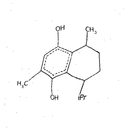 Cc1cc(O)c2c(c1O)C(C(C)C)CCC2C